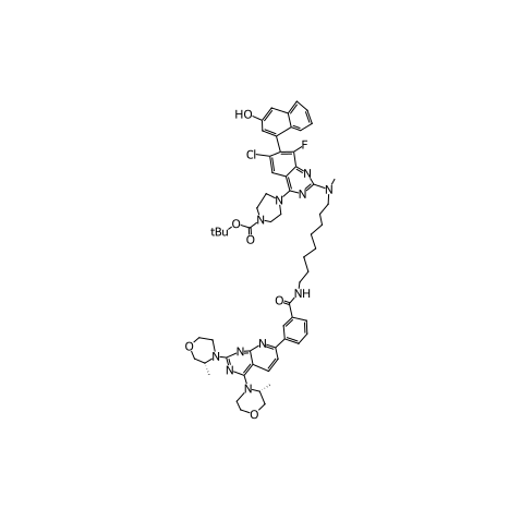 C[C@@H]1COCCN1c1nc(N2CCOC[C@H]2C)c2ccc(-c3cccc(C(=O)NCCCCCCCCN(C)c4nc(N5CCN(C(=O)OC(C)(C)C)CC5)c5cc(Cl)c(-c6cc(O)cc7ccccc67)c(F)c5n4)c3)nc2n1